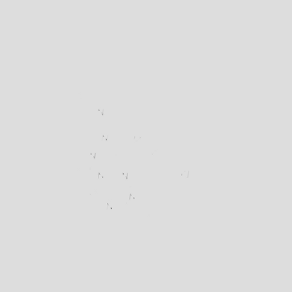 C=CC(=O)N1CC2COc3c(Cl)c(-c4c(N)c(Cl)cc(Cl)c4F)nc4c3c(nc(=O)n4-c3c(C)ccnc3C(C)C)N2CC1C